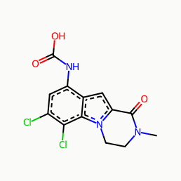 CN1CCn2c(cc3c(NC(=O)O)cc(Cl)c(Cl)c32)C1=O